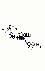 C#C/C(C#CCOc1ccccc1OC)=N\c1c(C)ncnc1NC1CCN(C(=O)/C=C/CN(C)C)C1